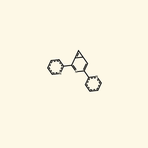 C1=C(c2ccccn2)N=C(c2ccccn2)C2=CC12